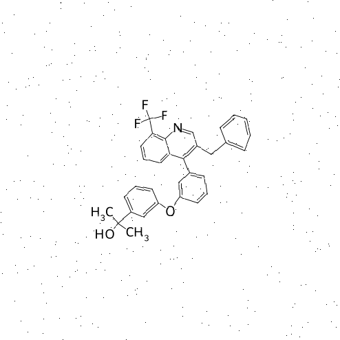 CC(C)(O)c1cccc(Oc2cccc(-c3c(Cc4ccccc4)cnc4c(C(F)(F)F)cccc34)c2)c1